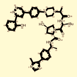 Cc1ncsc1-c1ccc([C@H](C)NC(=O)[C@@H]2C[C@@H](O)CN2C(=O)[C@@H](NC(=O)C(C)N2CCN(c3ccc(-c4cnnc(-c5ccccc5O)c4)cc3)CC2)C(C)(C)C)cc1